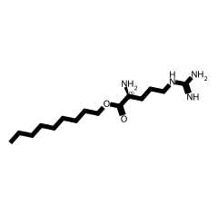 CCCCCCCCCOC(=O)[C@@H](N)CCCNC(=N)N